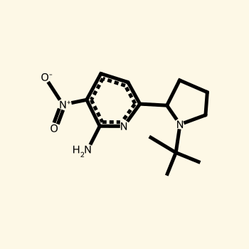 CC(C)(C)N1CCCC1c1ccc([N+](=O)[O-])c(N)n1